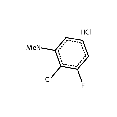 CNc1cccc(F)c1Cl.Cl